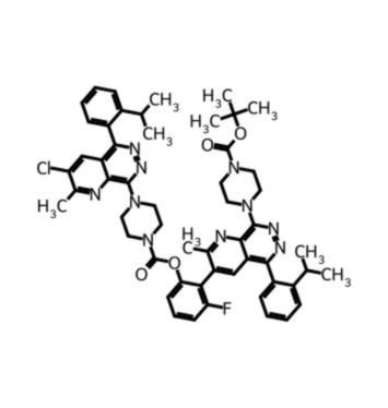 Cc1nc2c(N3CCN(C(=O)Oc4cccc(F)c4-c4cc5c(-c6ccccc6C(C)C)nnc(N6CCN(C(=O)OC(C)(C)C)CC6)c5nc4C)CC3)nnc(-c3ccccc3C(C)C)c2cc1Cl